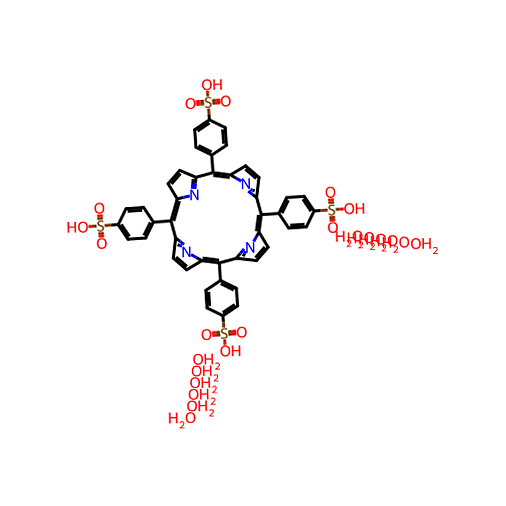 O.O.O.O.O.O.O.O.O.O.O.O.O=S(=O)(O)c1ccc(C2=C3C=CC(=N3)C(c3ccc(S(=O)(=O)O)cc3)=C3C=CC(=N3)C(c3ccc(S(=O)(=O)O)cc3)=C3C=CC(=N3)C(c3ccc(S(=O)(=O)O)cc3)=C3C=CC2=N3)cc1